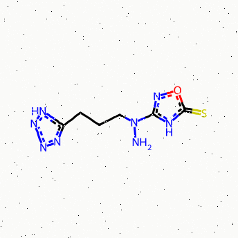 NN(CCCc1nnn[nH]1)c1noc(=S)[nH]1